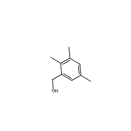 [CH2]c1c(C)cc(C)cc1CO